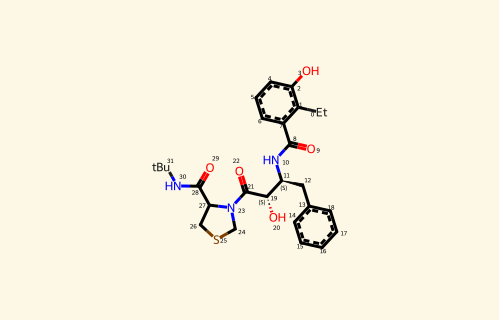 CCc1c(O)cccc1C(=O)N[C@@H](Cc1ccccc1)[C@H](O)C(=O)N1CSCC1C(=O)NC(C)(C)C